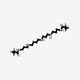 O=C(NCCCNCCCCNCCCNCCCNC(=O)C(F)(F)F)C(F)(F)F